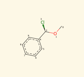 CO[C@H](Cl)c1ccccc1